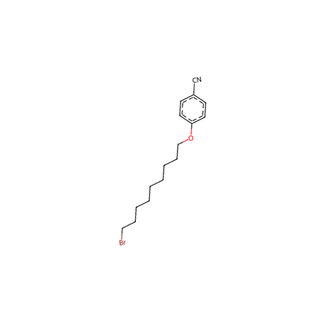 N#Cc1ccc(OCCCCCCCCCBr)cc1